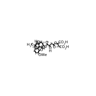 COc1ccc2c3c1O[C@H]1C(OC(=O)[C@@H](O)CC(=O)O[C@@H](CC(=O)O)C(=O)O)=CC[C@@]4(O)[C@@H](C2)C(C)CC[C@]314